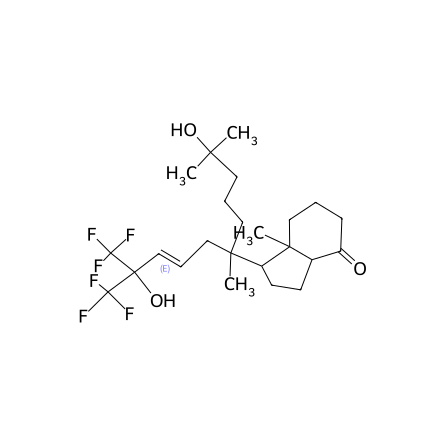 CC(C)(O)CCCC(C)(C/C=C/C(O)(C(F)(F)F)C(F)(F)F)C1CCC2C(=O)CCCC21C